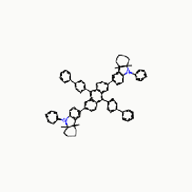 CC12CCCCC1(C)N(c1ccccc1)c1ccc(-c3ccc4c(-c5ccc(-c6ccccc6)cc5)c5cc(-c6ccc7c(c6)C6(C)CCCCC6(C)N7c6ccccc6)ccc5c(-c5ccc(-c6ccccc6)cc5)c4c3)cc12